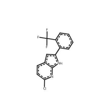 FC(F)(F)c1ccccc1-c1cc2ccc(Cl)nc2[nH]1